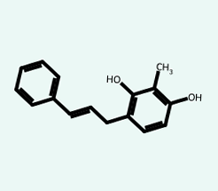 Cc1c(O)ccc(CC=Cc2ccccc2)c1O